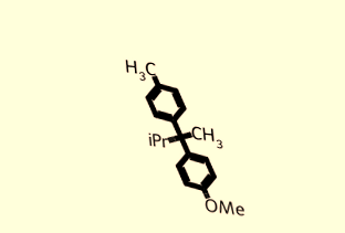 COc1ccc(C(C)(c2ccc(C)cc2)C(C)C)cc1